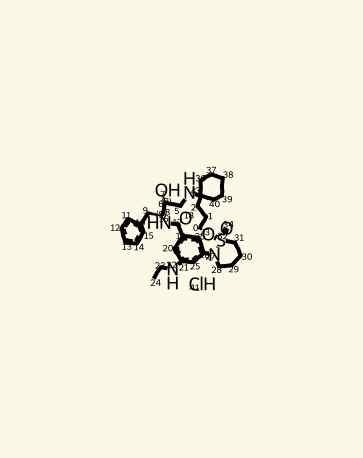 CCCC1(NC[C@@H](O)[C@H](Cc2ccccc2)NC(=O)c2cc(NCC)cc(N3CCCCS3(=O)=O)c2)CCCCC1.Cl